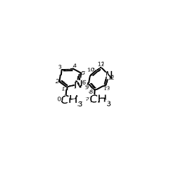 Cc1ccccn1.Cc1cccnc1